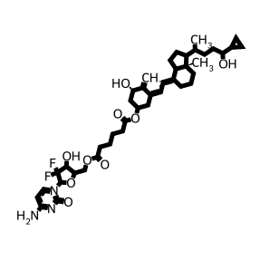 C=C1/C(=C\C=C2/CCC[C@@]3(C)C2CCC3C(C)CCC(O)C2CC2)CC(OC(=O)CCCCC(=O)OCC2OC(n3ccc(N)nc3=O)C(F)(F)C2O)C[C@@H]1O